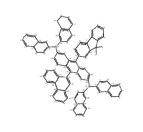 CC1(C)c2ccccc2-c2ccc(-c3c4cc(N(C5=CCC6C=CC=CC6=C5)c5ccc6c(c5)CCC=C6)ccc4c(-c4cc5ccccc5c5ccccc45)c4cc(N(c5ccc6ccccc6c5)c5ccc6ccccc6c5)ccc34)cc21